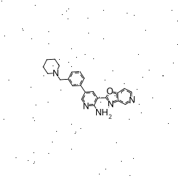 Nc1ncc(-c2cccc(CN3CCCCC3)c2)cc1-c1nc2cnccc2o1